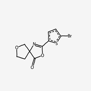 O=C1OC(c2ccc(Br)s2)=NC12CCOC2